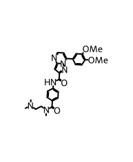 COc1ccc(-c2ccnc3cc(C(=O)Nc4ccc(C(=O)N(C)CCN(C)C)cc4)nn23)cc1OC